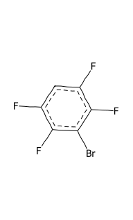 Fc1cc(F)c(F)c(Br)c1F